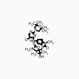 CN1CC(Cn2c(=O)n(C)c3ccc(Nc4nc(N5CC(C)(C)OC(C)(C)C5)ncc4Cl)cc32)(C(C)(C)O)OC1=O